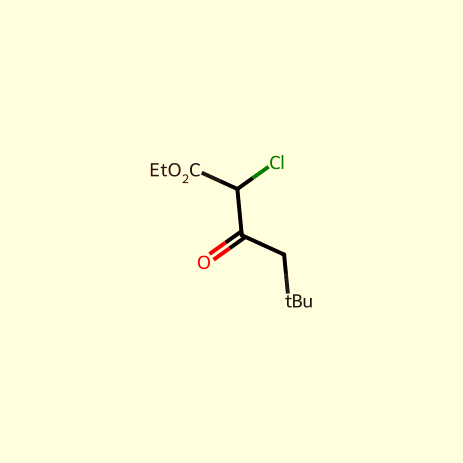 CCOC(=O)C(Cl)C(=O)CC(C)(C)C